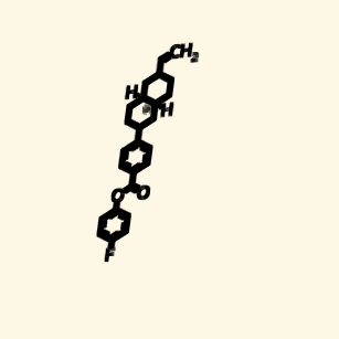 C=CC1CC[C@@H]2CC(c3ccc(C(=O)Oc4ccc(F)cc4)cc3)CC[C@H]2C1